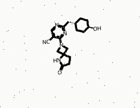 N#Cc1cnc(C[C@H]2CC[C@H](O)CC2)nc1N1CC2(CCC(=O)N2)C1